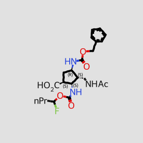 CCCC(F)OC(=O)N[C@H]1[C@@H](CNC(C)=O)[C@H](NC(=O)OCc2ccccc2)C[C@@H]1C(=O)O